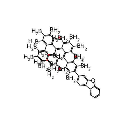 Bc1c(B)c(B)c(-c2c(B)c(B)c(B)c(B)c2-c2c3c(B)c(B)c(B)c(B)c3c(-c3c(B)c(B)c(-c4ccc5c(c4)oc4ccccc45)c(B)c3B)c3c(B)c(B)c(B)c(B)c23)c(B)c1B